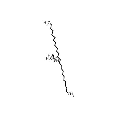 CCCCCCCCCCCCCC(CCCCCCCCCCCC)[N+](C)(C)C